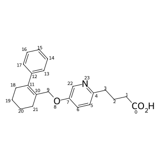 O=C(O)CCCc1ccc(OCC2=C(c3ccccc3)CCCC2)cn1